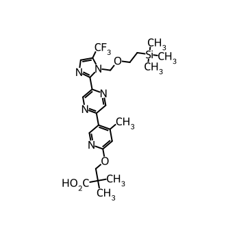 Cc1cc(OCC(C)(C)C(=O)O)ncc1-c1cnc(-c2ncc(C(F)(F)F)n2COCC[Si](C)(C)C)cn1